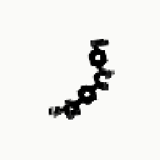 COc1ccc([S+]([O-])CC(=O)c2ccc(-c3noc(C(F)(F)F)n3)cn2)cc1